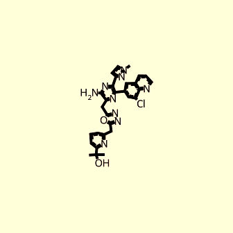 Cn1ccc(-c2nc(N)c(Cc3nnc(Cc4cccc(C(C)(C)O)n4)o3)nc2-c2cc(Cl)c3ncccc3c2)n1